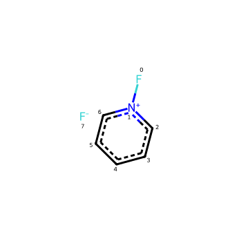 F[n+]1ccccc1.[F-]